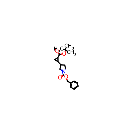 CC(C)(C)OC(=O)C1CC1C1CCN(C(=O)OCc2ccccc2)C1